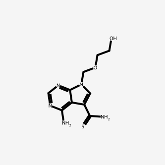 NC(=S)c1cn(COCCO)c2ncnc(N)c12